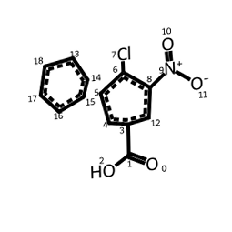 O=C(O)c1ccc(Cl)c([N+](=O)[O-])c1.c1ccccc1